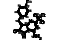 CCS(=O)(=O)c1nc(N)c2[nH]c(=O)n(Cc3ccc(F)cc3)c2n1